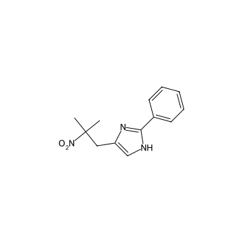 CC(C)(Cc1c[nH]c(-c2ccccc2)n1)[N+](=O)[O-]